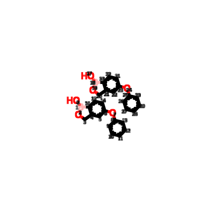 OB1OCc2cc(Oc3ccccc3)ccc21.OB1OCc2cc(Oc3ccccc3)ccc21